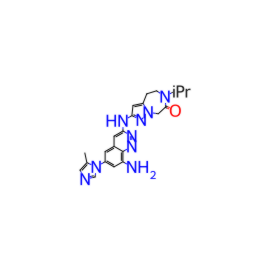 Cc1cncn1-c1cc(N)c2nnc(Nc3cc4n(n3)CC(=O)N(C(C)C)CC4)cc2c1